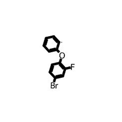 Fc1cc(Br)ccc1Oc1[c]cccc1